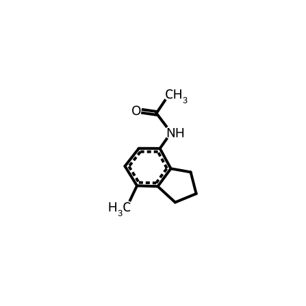 CC(=O)Nc1ccc(C)c2c1CCC2